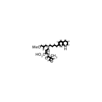 COCC(F)CN(CCCCc1ccc2c(n1)NCCC2)CCC(NC(=O)C1(C)COC1)C(=O)O